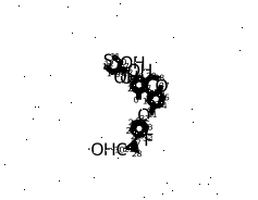 Cc1cc(OC(O)(O)C2(O)CCSCC2)cc2c1-c1cc(COc3ccc([C@H]4C[C@@H]4[C]=O)c(F)c3)ccc1OCC2